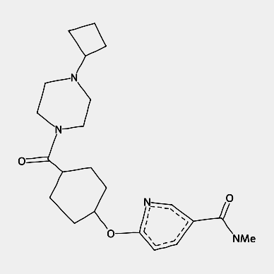 CNC(=O)c1ccc(OC2CCC(C(=O)N3CCN(C4CCC4)CC3)CC2)nc1